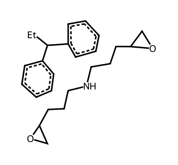 C(CNCCCC1CO1)CC1CO1.CCC(c1ccccc1)c1ccccc1